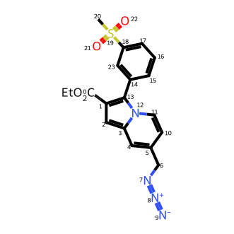 CCOC(=O)c1cc2cc(CN=[N+]=[N-])ccn2c1-c1cccc(S(C)(=O)=O)c1